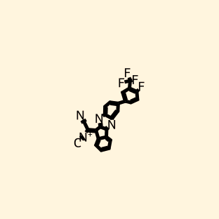 [C-]#[N+]/C(C#N)=C1\c2ccccc2-c2nc3cc(-c4ccc(F)c(C(F)(F)F)c4)ccc3nc21